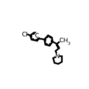 CC(=CCN1CCCCC1)c1ccc(-c2ccc(Cl)cc2)cc1